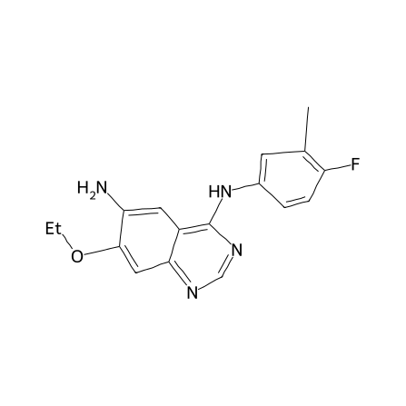 CCOc1cc2ncnc(Nc3ccc(F)c(C)c3)c2cc1N